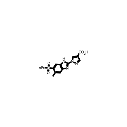 CCCS(=O)(=O)c1cc2[nH]c(-n3cc(C(=O)O)cn3)nc2cc1C